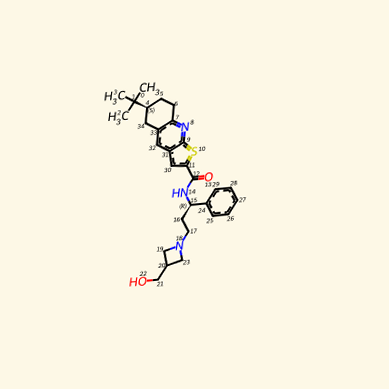 CC(C)(C)[C@H]1CCc2nc3sc(C(=O)N[C@H](CCN4CC(CO)C4)c4ccccc4)cc3cc2C1